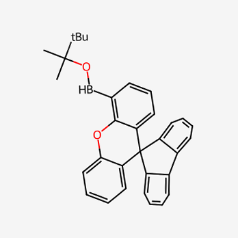 CC(C)(C)C(C)(C)OBc1cccc2c1Oc1ccccc1C21c2ccccc2-c2ccccc21